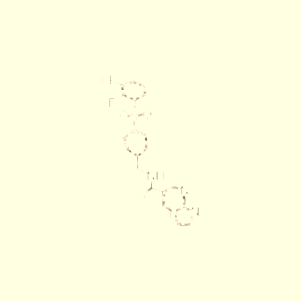 O=C(NCc1ccc(S(=O)(=O)c2cccc(Cl)c2F)cc1)c1cnc2nccn2c1